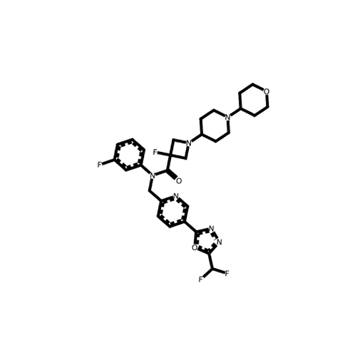 O=C(N(Cc1ccc(-c2nnc(C(F)F)o2)cn1)c1cccc(F)c1)C1(F)CN(C2CCN(C3CCOCC3)CC2)C1